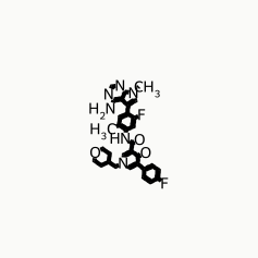 Cc1cc(-c2cn(C)c3ncnc(N)c23)c(F)cc1NC(=O)c1cn(CC2CCOCC2)cc(-c2ccc(F)cc2)c1=O